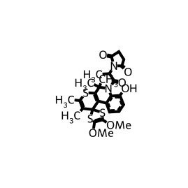 COC1=C(OC)SC2(S1)C(C)=C(C)SC1=C2c2cccc(O)c2N(C(=O)C(C)N2C(=O)CCC2=O)C1(C)C